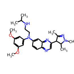 COc1cc(OC)cc(N(CCNC(C)C)c2ccc3ncc(C4C(C)=NN(C)C4C)nc3c2)c1